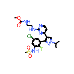 COC(=O)NCCNc1nccc(-c2cn(C(C)C)nc2-c2cc(Cl)cc(NS(C)(=O)=O)c2F)n1